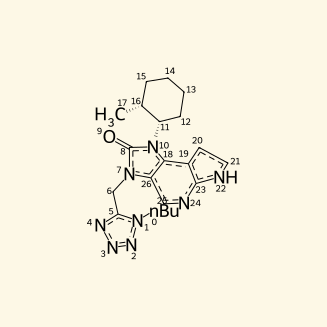 CCCCn1nnnc1Cn1c(=O)n([C@H]2CCCC[C@H]2C)c2c3cc[nH]c3ncc21